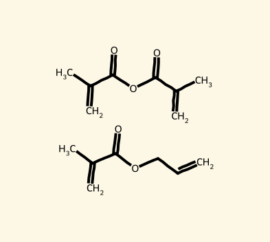 C=C(C)C(=O)OC(=O)C(=C)C.C=CCOC(=O)C(=C)C